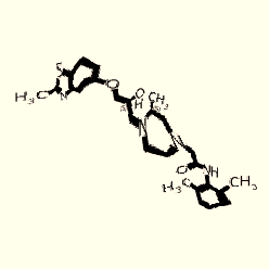 Cc1nc2cc(OC[C@@H](O)CN3CCN(CC(=O)Nc4c(C)cccc4C)C[C@@H]3C)ccc2s1